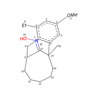 CCc1cc(OC)cc2c1CC1CCCCCC2(C)/C1=N/O